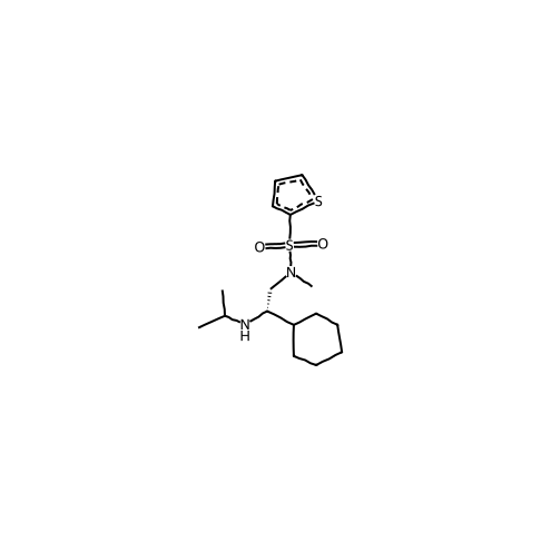 CC(C)N[C@H](CN(C)S(=O)(=O)c1cccs1)C1CCCCC1